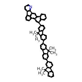 CC1(C)c2ccccc2-c2ccc(-c3ccc4c(c3)C(C)(C)c3cc(-c5ccc6c(c5)C(C)(C)c5cc(-c7cc8c9cccc%10c9c(cc8c8ccccc78)-c7ncccc7-%10)ccc5-6)ccc3-4)cc21